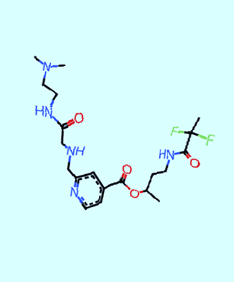 CC(CCNC(=O)C(C)(F)F)OC(=O)c1ccnc(CNCC(=O)NCCN(C)C)c1